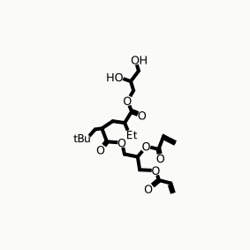 C=CC(=O)OCC(COC(=O)C(CC(CC)C(=O)OCC(O)CO)CC(C)(C)C)OC(=O)C=C